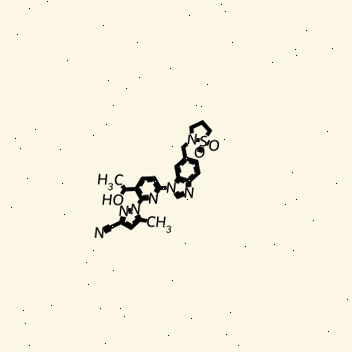 Cc1cc(C#N)nn1-c1nc(-n2cnc3ccc(CN4CCCS4(=O)=O)cc32)ccc1C(C)O